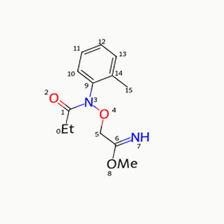 CCC(=O)N(OCC(=N)OC)c1ccccc1C